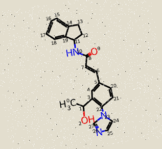 CC(O)c1cc(C=CC(=O)NC2CCc3ccccc32)ccc1-n1ccnc1